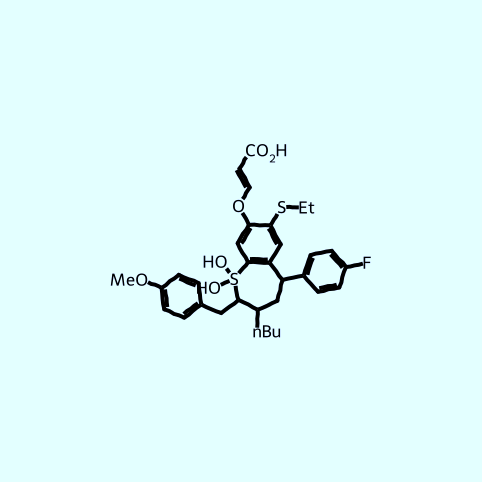 CCCCC1CC(c2ccc(F)cc2)c2cc(SCC)c(O/C=C/C(=O)O)cc2S(O)(O)C1Cc1ccc(OC)cc1